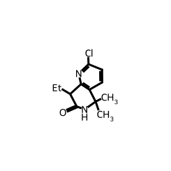 CCC1C(=O)NC(C)(C)c2ccc(Cl)nc21